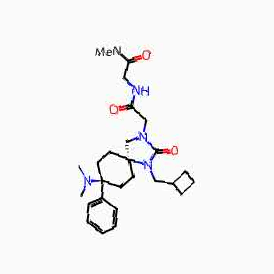 CNC(=O)CNC(=O)CN1C[C@]2(CC[C@](c3ccccc3)(N(C)C)CC2)N(CC2CCC2)C1=O